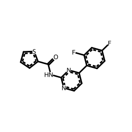 O=C(Nc1nccc(-c2ccc(F)cc2F)n1)c1cccs1